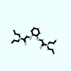 CCCN(CCC)C(=O)CO[C@@H]1CCCC[C@H]1OCC(=O)N(CCC)CCC